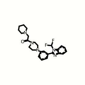 O=C(CN1CCCCC1)N1CCN(c2cccc(-c3nc4ccccc4n3C(F)F)c2)CC1